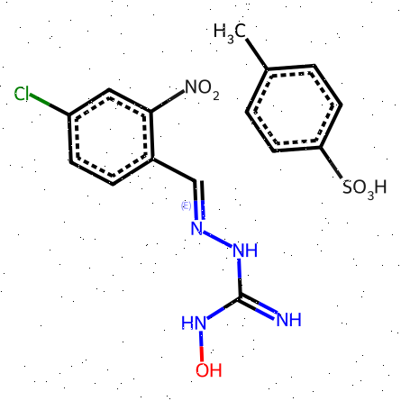 Cc1ccc(S(=O)(=O)O)cc1.N=C(NO)N/N=C/c1ccc(Cl)cc1[N+](=O)[O-]